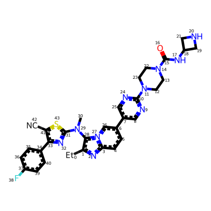 CCc1nc2ccc(-c3cnc(N4CCN(C(=O)NC5CNC5)CC4)nc3)cn2c1N(C)c1nc(-c2ccc(F)cc2)c(C#N)s1